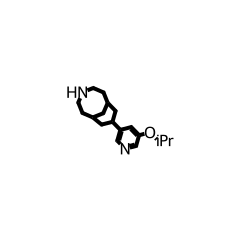 CC(C)Oc1cncc(C2CC3CCNCCC(C3)C2)c1